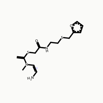 C=C(SCC(=O)NCCSCc1ccco1)N(C)/C=C\N